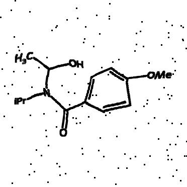 COc1ccc(C(=O)N(C(C)C)C(C)O)cc1